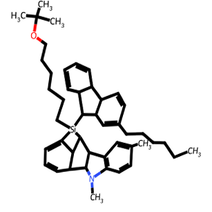 CCCCCCC1=CC2C(C=C1)C1C=CC=CC1C2[Si]1(CCCCCCOC(C)(C)C)C2=CC=CC3C2C1C1c2cc(C)ccc2N(C)C31